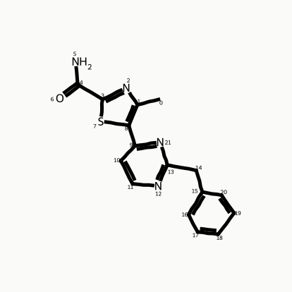 Cc1nc(C(N)=O)sc1-c1ccnc(Cc2ccccc2)n1